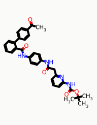 CC(=O)c1ccc(-c2ccccc2C(=O)Nc2ccc(NC(=O)Cc3cccc(NC(=O)OC(C)(C)C)n3)cc2)cc1